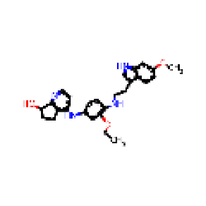 CCOc1cc(Nc2ccnc3c2CCC3O)ccc1NCCc1c[nH]c2cc(OC)ccc12